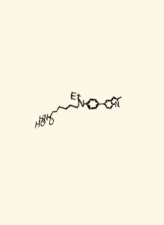 CCN(CCCCCCC(=O)NO)c1ccc(-c2ccc3c(c2)cc(C)n3C)cc1